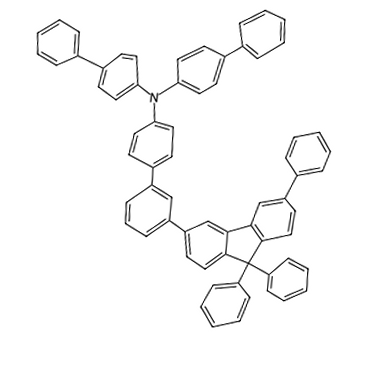 c1ccc(-c2ccc(N(c3ccc(-c4ccccc4)cc3)c3ccc(-c4cccc(-c5ccc6c(c5)-c5cc(-c7ccccc7)ccc5C6(c5ccccc5)c5ccccc5)c4)cc3)cc2)cc1